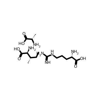 CC[C@H](C)[C@H](N)C(=O)O.C[C@H](N)C(=O)O.N=C(N)NCCC[C@H](N)C(=O)O